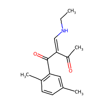 CCN/C=C(\C(C)=O)C(=O)c1cc(C)ccc1C